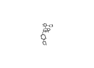 O=C(CNCc1ccc(Cl)cc1)c1sccc1Cl